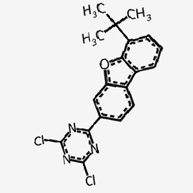 CC(C)(C)c1cccc2c1oc1cc(-c3nc(Cl)nc(Cl)n3)ccc12